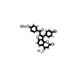 COc1ccc(C(=O)c2oc3ccc4c(C)cc(=O)oc4c3c2-c2ccc(Br)cc2)cc1